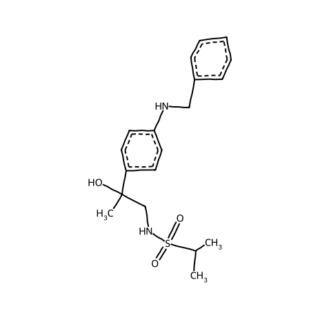 CC(C)S(=O)(=O)NCC(C)(O)c1ccc(NCc2ccccc2)cc1